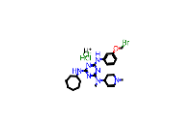 CN1CCC(N(C)c2nc(Nc3cccc(OCBr)c3)nc(NC3CCCCCC3)n2)CC1.Cl.[Cl-].[H+]